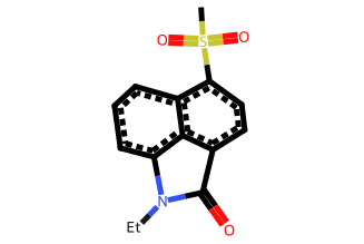 CCN1C(=O)c2ccc(S(C)(=O)=O)c3cccc1c23